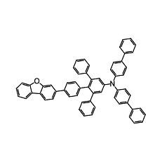 c1ccc(-c2ccc(N(c3ccc(-c4ccccc4)cc3)c3cc(-c4ccccc4)c(-c4ccc(-c5ccc6c(c5)oc5ccccc56)cc4)c(-c4ccccc4)c3)cc2)cc1